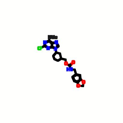 CNc1nc(Cl)nc2c1ncn2C1CCCC(COC(=O)NCc2ccc3c(c2)OCO3)C1